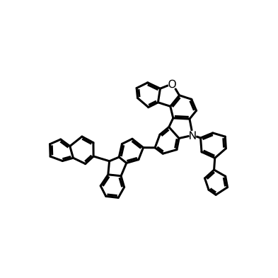 c1ccc(-c2cccc(-n3c4ccc(-c5ccc6c(c5)-c5ccccc5C6c5ccc6ccccc6c5)cc4c4c5c(ccc43)oc3ccccc35)c2)cc1